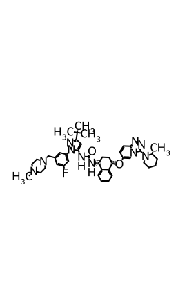 CC1CCCCN1c1nnc2ccc(O[C@@H]3CC[C@H](NC(=O)Nc4cc(C(C)(C)C)nn4-c4cc(F)cc(CN5CCN(C)CC5)c4)c4ccccc43)cn12